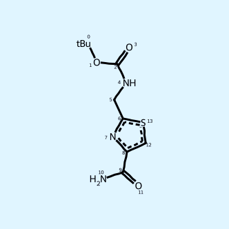 CC(C)(C)OC(=O)NCc1nc(C(N)=O)cs1